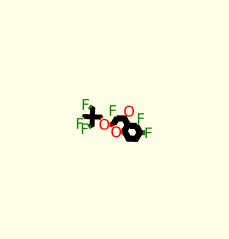 O=c1c(F)c(OCC(CF)(CF)CF)oc2ccc(F)c(F)c12